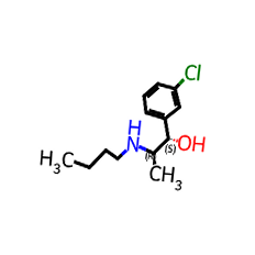 CCCCN[C@H](C)[C@@H](O)c1cccc(Cl)c1